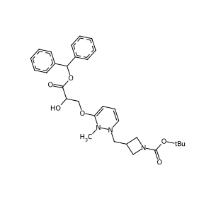 CN1C(OCC(O)C(=O)OC(c2ccccc2)c2ccccc2)=CC=CN1CC1CN(C(=O)OC(C)(C)C)C1